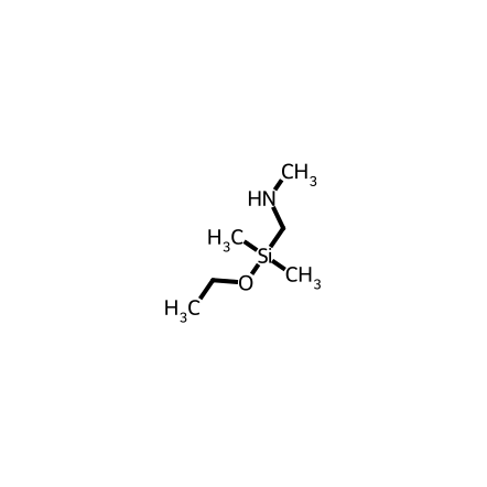 CCO[Si](C)(C)CNC